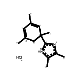 CC1=CC(C)(c2nc(C)c(C)[nH]2)CC(C)=C1.Cl